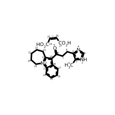 Cc1[nH]cnc1CCC(=O)c1c2n(c3ccccc13)CCCCC2.O=C(O)/C=C\C(=O)O